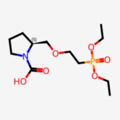 CCOP(=O)(CCOC[C@@H]1CCCN1C(=O)O)OCC